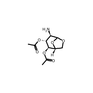 CC(=O)O[C@H]1[C@H](OC(C)=O)[C@@H](N)C2OC[C@H]1O2